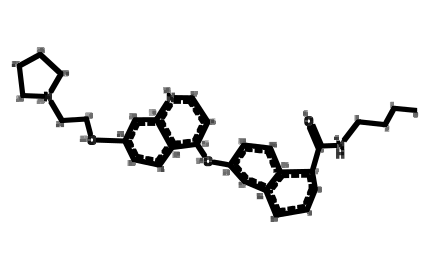 CCCCNC(=O)c1cccc2cc(Oc3ccnc4cc(OCCN5CCCC5)ccc34)ccc12